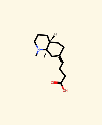 CN1CCC[C@@H]2CCC(=CCCC(=O)O)C[C@H]21